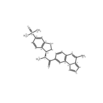 CN(C(=O)c1ccc2nc(N)c3cncn3c2c1)[C@@H]1COc2cc(P(C)(C)=O)ccc21